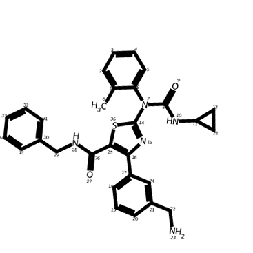 Cc1ccccc1N(C(=O)NC1CC1)c1nc(-c2cccc(CN)c2)c(C(=O)NCc2ccccc2)s1